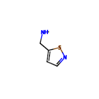 [NH]Cc1ccns1